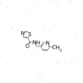 Cc1ccc(CNC(=O)c2cncs2)cn1